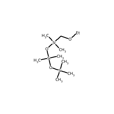 CCOC[Si](C)(C)O[Si](C)(C)O[Si](C)(C)C